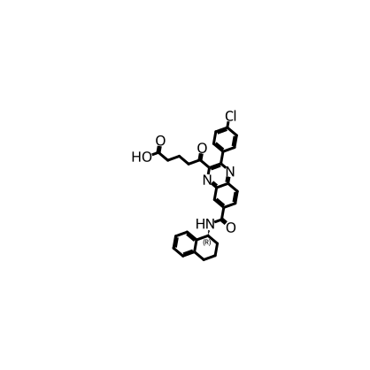 O=C(O)CCCC(=O)c1nc2cc(C(=O)N[C@@H]3CCCc4ccccc43)ccc2nc1-c1ccc(Cl)cc1